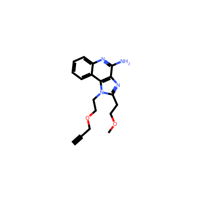 C#CCOCCn1c(CCOC)nc2c(N)nc3ccccc3c21